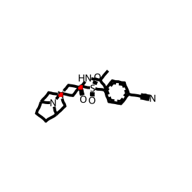 CC(C)NC(=O)CN1CC2CCC(C1)N2CCCS(=O)(=O)c1ccc(C#N)cc1